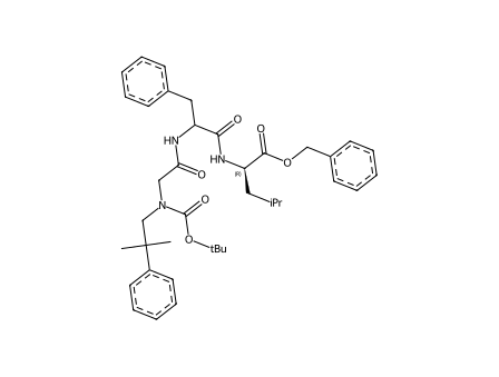 CC(C)C[C@@H](NC(=O)C(Cc1ccccc1)NC(=O)CN(CC(C)(C)c1ccccc1)C(=O)OC(C)(C)C)C(=O)OCc1ccccc1